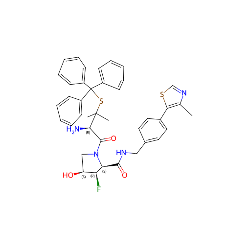 Cc1ncsc1-c1ccc(CNC(=O)[C@H]2[C@@H](F)[C@@H](O)CN2C(=O)[C@@H](N)C(C)(C)SC(c2ccccc2)(c2ccccc2)c2ccccc2)cc1